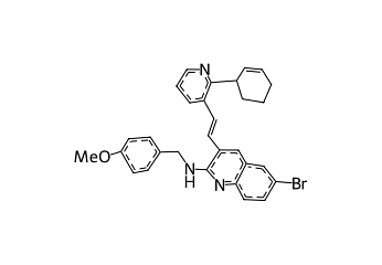 COc1ccc(CNc2nc3ccc(Br)cc3cc2C=Cc2cccnc2C2C=CCCC2)cc1